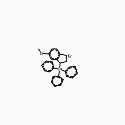 COc1ccc2c(c1)C([P+](c1ccccc1)(c1ccccc1)c1ccccc1)CC2.[Br-]